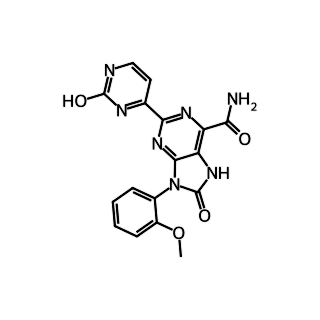 COc1ccccc1-n1c(=O)[nH]c2c(C(N)=O)nc(-c3ccnc(O)n3)nc21